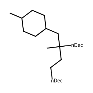 CCCCCCCCCCCCC(C)(CCCCCCCCCC)CC1CCC(C)CC1